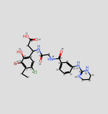 CCc1c(Cl)cc(C(CC(=O)O)NC(=O)CNC(=O)c2cccc(NC3=NCCCN3)c2)c(O)c1Br